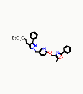 CCOC(=O)CCc1cn(Cc2ccc(OCc3nc(-c4ccccc4)oc3C)nc2)nc1-c1ccccc1